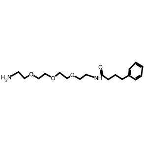 NCCOCCOCCOCCNC(=O)CCCc1ccccc1